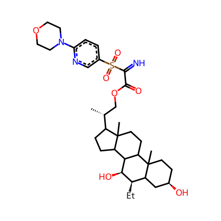 CC[C@@H]1C2C[C@H](O)CCC2(C)C2CCC3(C)C(CCC3[C@H](C)COC(=O)C(=N)S(=O)(=O)c3ccc(N4CCOCC4)nc3)C2[C@@H]1O